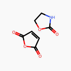 O=C1C=CC(=O)O1.O=C1NCCO1